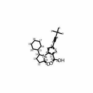 CC(C)(C)C#Cc1cc(N2C(=O)CCC2C2CCCCC2)c(C(=O)O)s1